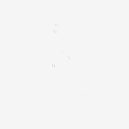 COC(=O)CCCCCCN(Cc1ccc(-n2cccn2)cc1)S(=O)(=O)c1ccccn1